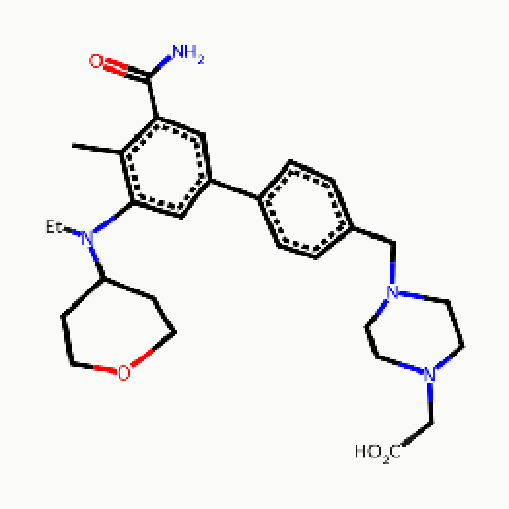 CCN(c1cc(-c2ccc(CN3CCN(CC(=O)O)CC3)cc2)cc(C(N)=O)c1C)C1CCOCC1